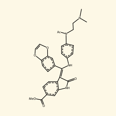 COC(=O)c1ccc2c(c1)NC(=O)/C2=C(\Nc1ccc(N(CCN(C)C)C(C)=O)cc1)c1ccc2c(c1)OC=CO2